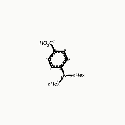 CCCCCCN(CCCCCC)c1ccc(C(=O)O)cc1